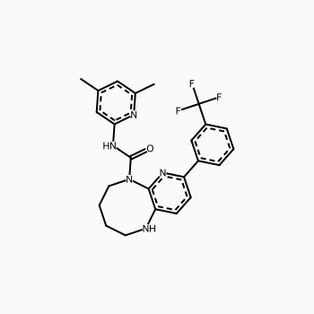 Cc1cc(C)nc(NC(=O)N2CCCCNc3ccc(-c4cccc(C(F)(F)F)c4)nc32)c1